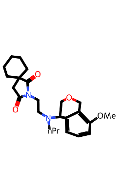 CCCN(CCN1C(=O)CC2(CCCCC2)C1=O)C1COCc2c(OC)cccc21